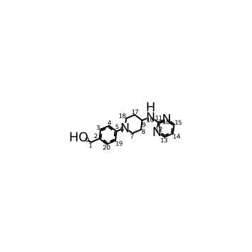 OCc1ccc(N2CCC(Nc3ncccn3)CC2)cc1